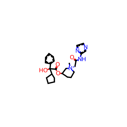 C[N+]1(CC(=O)Nc2cnccn2)CCCC(OC(=O)C(O)(c2ccccc2)C2CCCC2)C1